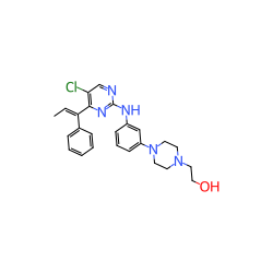 C/C=C(\c1ccccc1)c1nc(Nc2cccc(N3CCN(CCO)CC3)c2)ncc1Cl